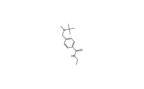 CCNC(=O)c1ccc(CN(C)C(C)(C)C)cc1